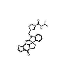 CC(C)NC(=O)N1CCC(CN2C(=O)C3(CCn4c3cc3occc3c4=O)c3ccccc32)C1